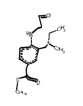 CCN(C)c1cc(C(=O)OC)ccc1NCC=O